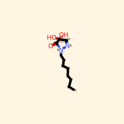 CCCCCCCCN1N=CC(O)(O)C1=O